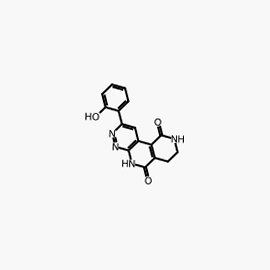 O=C1NCCc2c1c1cc(-c3ccccc3O)nnc1[nH]c2=O